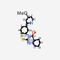 COc1ccnc(-c2ccc(F)c(N(C(=O)c3ccccc3)C(N)=S)c2)c1